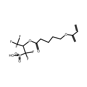 C=CC(=C)OCCCCC(=O)OC(C(F)(F)F)C(F)(F)S(=O)(=O)O